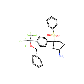 NC1CCC(c2ccc(C(OCc3ccccc3)(C(F)(F)F)C(F)(F)F)cc2)(S(=O)(=O)c2ccccc2)C1